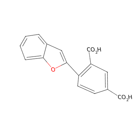 O=C(O)c1ccc(-c2cc3ccccc3o2)c(C(=O)O)c1